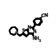 N#Cc1ccc(-c2nc(N)c3cc(CN4CCCCCC4)sc3n2)cc1